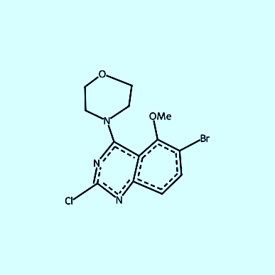 COc1c(Br)ccc2nc(Cl)nc(N3CCOCC3)c12